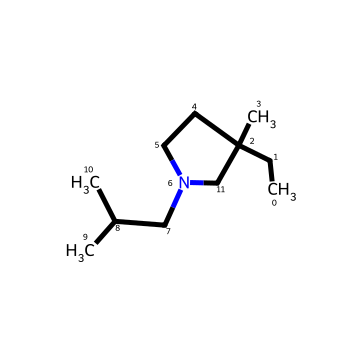 CCC1(C)CCN(CC(C)C)C1